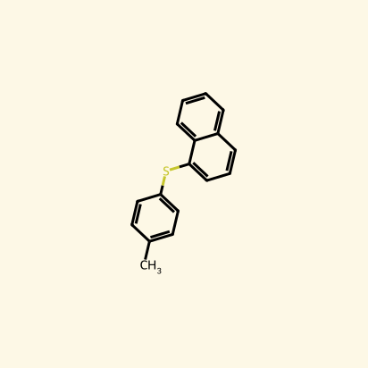 Cc1ccc(Sc2cccc3ccccc23)cc1